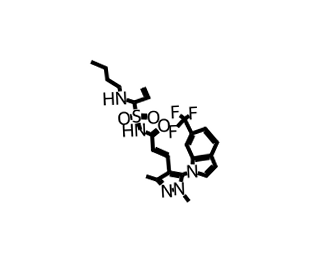 C=CC(NCCCC)S(=O)(=O)NC(=O)/C=C/c1c(C)nn(C)c1-n1ccc2ccc(C(F)(F)F)cc21